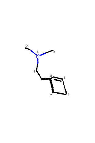 CN(C)CC1=CCC1